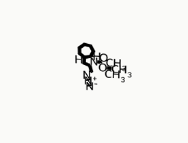 CC(C)(C)OC(=O)N1C(CN=[N+]=[N-])C[C@@H]2CCCCC[C@H]21